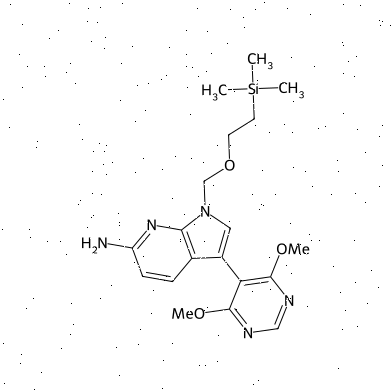 COc1ncnc(OC)c1-c1cn(COCC[Si](C)(C)C)c2nc(N)ccc12